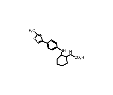 O=C(O)NC1CCCCC1Nc1ccc(-c2noc(C(F)(F)F)n2)cc1